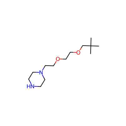 CC(C)(C)COCCOCCN1CCNCC1